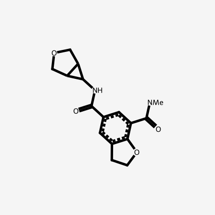 CNC(=O)c1cc(C(=O)NC2C3COCC32)cc2c1OCC2